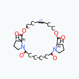 O=C1OCC/C=C\CCOC(=O)[C@H]2CCCN2C(=O)CCCCC(=O)N2CCC[C@H]12